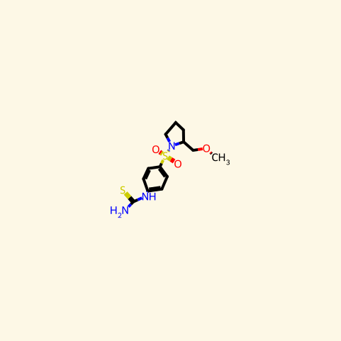 COCC1CCCN1S(=O)(=O)c1ccc(NC(N)=S)cc1